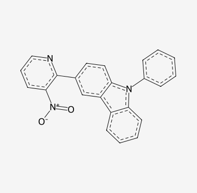 O=[N+]([O-])c1cccnc1-c1ccc2c(c1)c1ccccc1n2-c1ccccc1